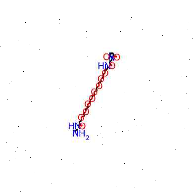 NCCNC(=O)CCOCCOCCOCCOCCOCCOCCOCCOCCNC(=O)CCN1C(=O)C=CC1=O